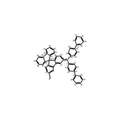 Cc1ccc2c(c1)-c1cc(N(c3ccc(-c4ccccc4)cc3)c3ccc(-c4ccccc4)cc3)ccc1C21c2ccccc2-c2ccccc21